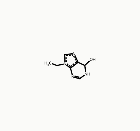 CCn1cnc2c1N=CNC2O